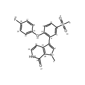 Cn1cc(-c2cc(S(C)(=O)=O)ccc2Oc2ccc(F)cc2)c2cc[nH]c(=O)c21